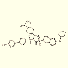 NC(=O)C1CCN(C(=O)C(NS(=O)(=O)c2ccc3cc(OC4CCCC4)ccc3c2)C(F)(F)c2ccc(-c3ccc(Cl)cc3)cc2)CC1